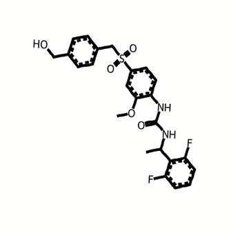 COc1cc(S(=O)(=O)Cc2ccc(CO)cc2)ccc1NC(=O)NC(C)c1c(F)cccc1F